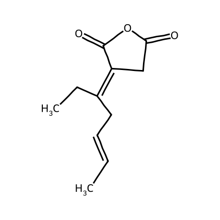 CC=CCC(CC)=C1CC(=O)OC1=O